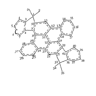 CC1(C)c2ccccc2-c2c1cc1c3ccccc3c3c4c(cc5c6ccccc6c2c1c53)C(C)(C)c1ccccc1-4